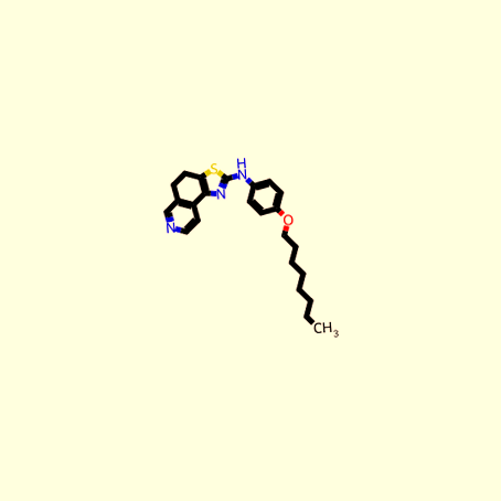 CCCCCCCCOc1ccc(Nc2nc3c(s2)CCc2cnccc2-3)cc1